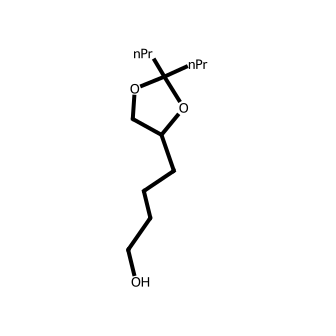 CCCC1(CCC)OCC(CCCCO)O1